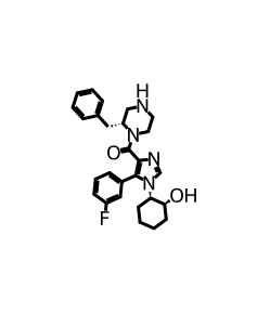 O=C(c1ncn([C@H]2CCCC[C@@H]2O)c1-c1cccc(F)c1)N1CCNC[C@H]1Cc1ccccc1